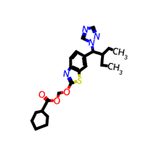 CCC(CC)C(c1ccc2nc(OCOC(=O)C3CCCCC3)sc2c1)n1cncn1